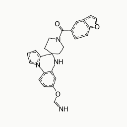 N=COc1ccc2c(c1)NC1(CCN(C(=O)c3ccc4occc4c3)CC1)c1cccn1-2